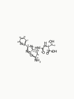 CC(O)C(NC(=O)N[C@@H](CC(N)=O)c1nc(-c2ccccn2)no1)C(=O)O